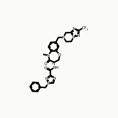 CN1C(=O)[C@@H](NC(=O)c2ncn(Cc3ccccc3)n2)COc2cc(CN3CCn4nc(C(F)(F)F)nc4C3)ccc21